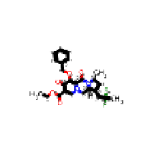 CCOC(=O)c1cn2c(c(OCc3ccccc3)c1=O)C(=O)N1[C@@H](C)CC(CC(C)(F)F)[C@@H]1C2